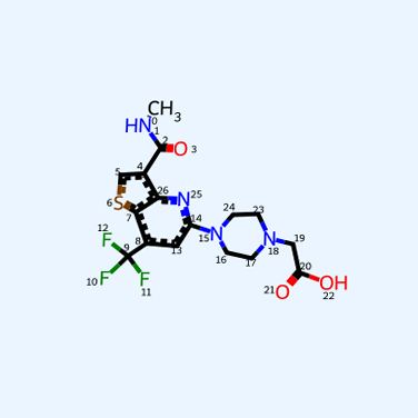 CNC(=O)c1csc2c(C(F)(F)F)cc(N3CCN(CC(=O)O)CC3)nc12